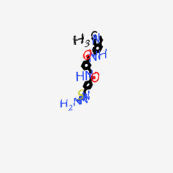 CN1CCc2ccc(NC(=O)c3cccc(CNC(=O)c4ccc(-c5nnc(N)s5)cc4)c3)cc2C1